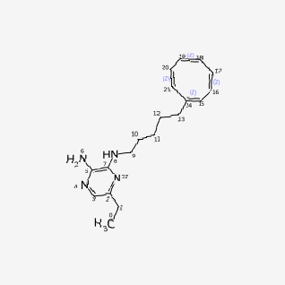 CCc1cnc(N)c(NCCCCCC2=C/C=C\C=C/C=C\2)n1